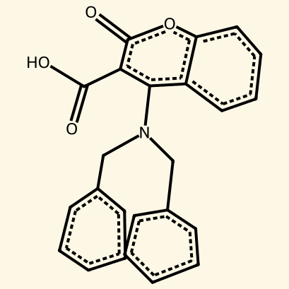 O=C(O)c1c(N(Cc2ccccc2)Cc2ccccc2)c2ccccc2oc1=O